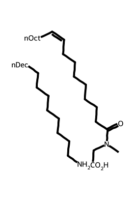 CCCCCCCC/C=C\CCCCCCCC(=O)N(C)CC(=O)O.CCCCCCCCCCCCCCCCCCN